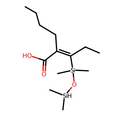 CCCC/C(C(=O)O)=C(\CC)[Si](C)(C)O[SiH](C)C